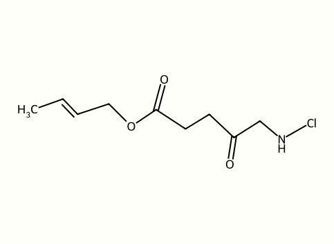 C/C=C/COC(=O)CCC(=O)CNCl